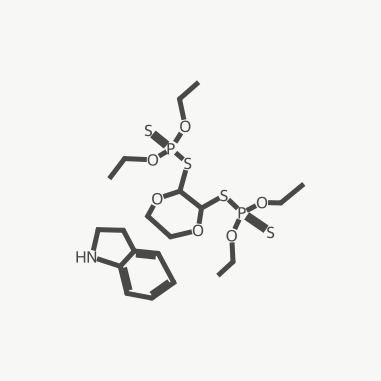 CCOP(=S)(OCC)SC1OCCOC1SP(=S)(OCC)OCC.c1ccc2c(c1)CCN2